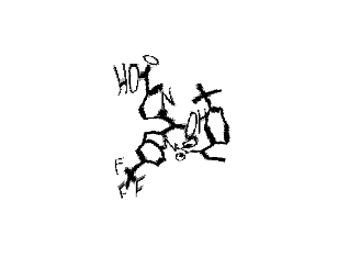 C=CC(c1cccc(C(C)(C)C)c1)S(=O)(=O)n1c(C(O)c2ccc(C(=O)O)cn2)cc2cc(C(F)(F)F)ccc21